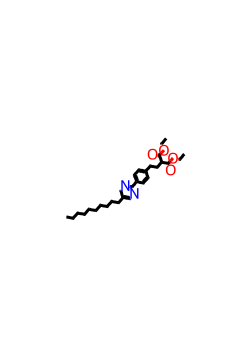 CCCCCCCCCCc1cnc(-c2ccc(CCC(C(=O)OCC)C(=O)OCC)cc2)nc1